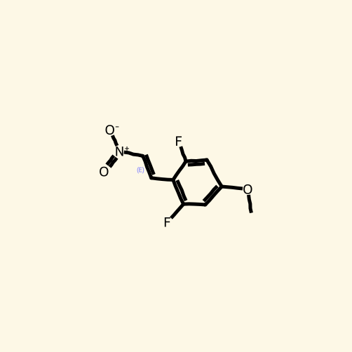 COc1cc(F)c(/C=C/[N+](=O)[O-])c(F)c1